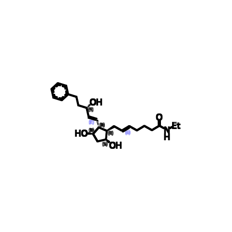 CCNC(=O)CCC/C=C/C[C@@H]1[C@@H](/C=C/[C@@H](O)CCc2ccccc2)[C@H](O)C[C@@H]1O